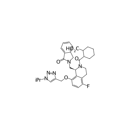 CC(C)n1cc(COc2ccc(F)c3c2[C@@H](CN2Cc4ccccc4C2=O)N(C(=O)C2CCCCC2C(=O)O)CC3)nn1